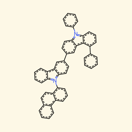 c1ccc(-c2cccc3c2c2cc(-c4ccc5c(c4)c4ccccc4n5-c4cccc5c4ccc4ccccc45)ccc2n3-c2ccccc2)cc1